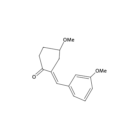 COc1cccc(C=C2CC(OC)CCC2=O)c1